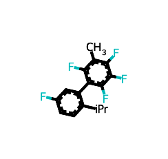 Cc1c(F)c(F)c(F)c(-c2cc(F)ccc2C(C)C)c1F